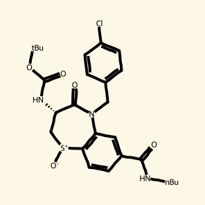 CCCCNC(=O)c1ccc2c(c1)N(Cc1ccc(Cl)cc1)C(=O)[C@@H](NC(=O)OC(C)(C)C)C[S+]2[O-]